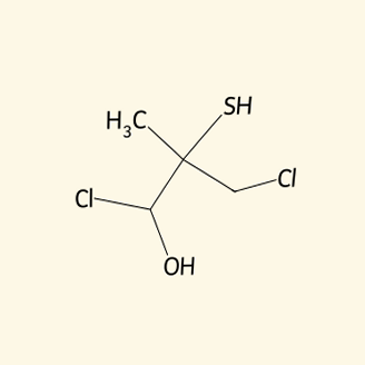 CC(S)(CCl)C(O)Cl